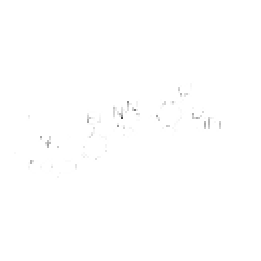 CCOC(=O)C1CCCCN1CCc1cccc(-c2nnc(-c3ccc(OC(C)C)c(Cl)c3)s2)c1CC